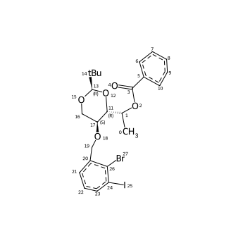 CC(OC(=O)c1ccccc1)[C@H]1O[C@H](C(C)(C)C)OC[C@@H]1OCc1cccc(I)c1Br